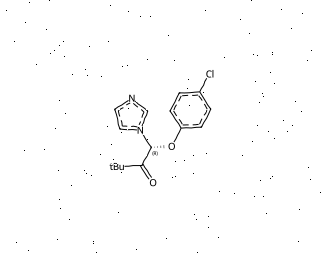 CC(C)(C)C(=O)[C@@H](Oc1ccc(Cl)cc1)n1ccnc1